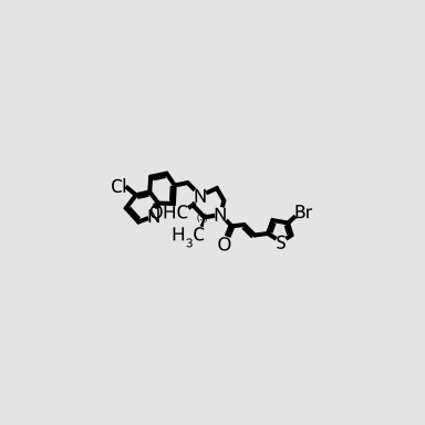 C[C@H]1C(C=O)N(Cc2ccc3c(Cl)ccnc3c2)CCN1C(=O)C=Cc1cc(Br)cs1